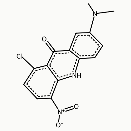 CN(C)c1ccc2[nH]c3c([N+](=O)[O-])ccc(Cl)c3c(=O)c2c1